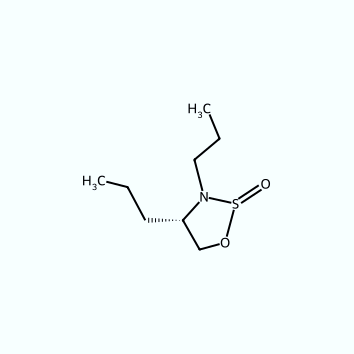 CCC[C@H]1COS(=O)N1CCC